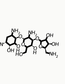 NC[C@H]1OC(O[C@@H]2C(N)[C@@H](O[C@@H]3C(N)C[C@@H](N)[C@@H](O)C3O)OC(CO)[C@H]2O)C(O)[C@H]1O